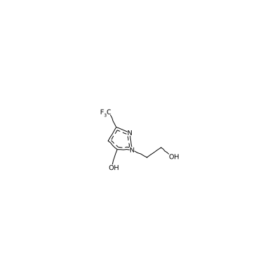 OCCn1nc(C(F)(F)F)cc1O